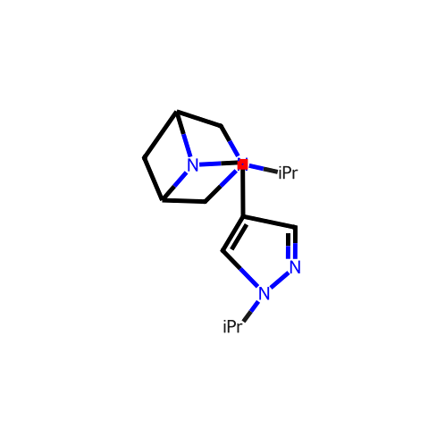 CC(C)N1CC2CC(C1)N2Cc1cnn(C(C)C)c1